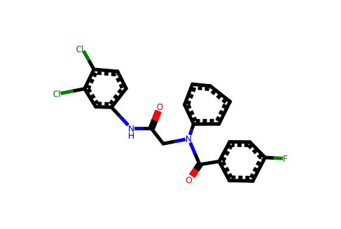 O=C(CN(C(=O)c1ccc(F)cc1)c1ccccc1)Nc1ccc(Cl)c(Cl)c1